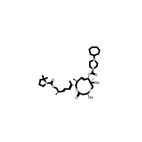 C/C(=C\C=C\[C@@H](C)COC(=O)N1CCCC1(C)C)[C@H]1OC(=O)C[C@@H](O)CC[C@](C)(O)[C@@H](OC(=O)N2CCN(C3CCCCCC3)CC2)/C=C/[C@@H]1C